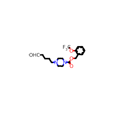 O=[C]CCCCN1CCN(C(=O)OCc2ccccc2OC(F)(F)F)CC1